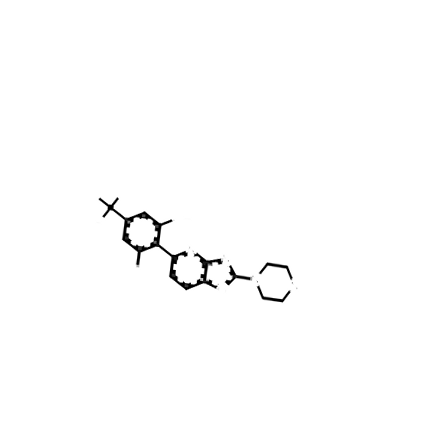 Cc1cc(C(F)(F)F)cc(O)c1-c1ccc2oc(N3CCNCC3)nc2n1